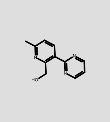 Cc1ccc(-c2ncccn2)c(CO)n1